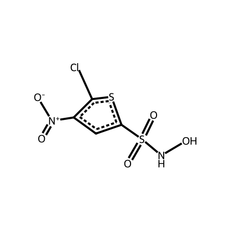 O=[N+]([O-])c1cc(S(=O)(=O)NO)sc1Cl